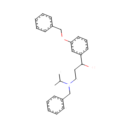 CC(C)N(CCC(O)c1cccc(OCc2ccccc2)c1)Cc1ccccc1